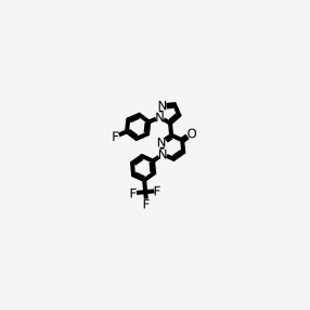 O=c1ccn(-c2cccc(C(F)(F)F)c2)nc1-c1ccnn1-c1ccc(F)cc1